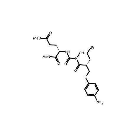 CNC(=O)[C@H](CCC(=O)OC)NC(=O)N(O)C(=O)[C@H](CCC(C)C)CSc1ccc(N)cc1